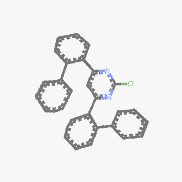 Clc1nc(-c2ccccc2-c2ccccc2)cc(-c2ccccc2-c2ccccc2)n1